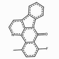 Cc1ccc(F)c2c(=O)n3c4ccccc4c4ccnc(c12)c43